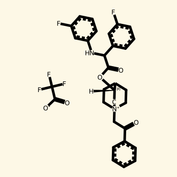 O=C(C[N+]12CCC(CC1)[C@@H](OC(=O)C(Nc1cccc(F)c1)c1cccc(F)c1)C2)c1ccccc1.O=C([O-])C(F)(F)F